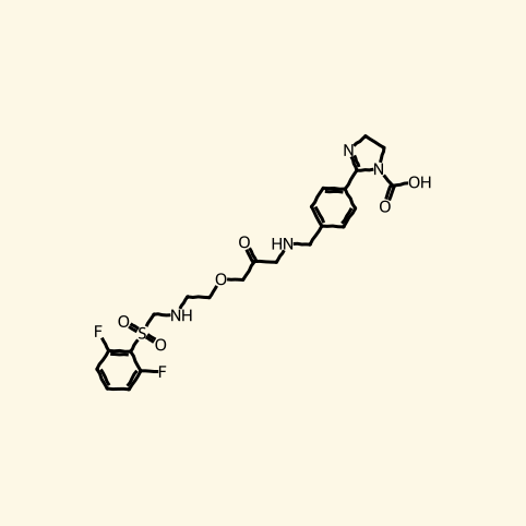 O=C(CNCc1ccc(C2=NCCN2C(=O)O)cc1)COCCNCS(=O)(=O)c1c(F)cccc1F